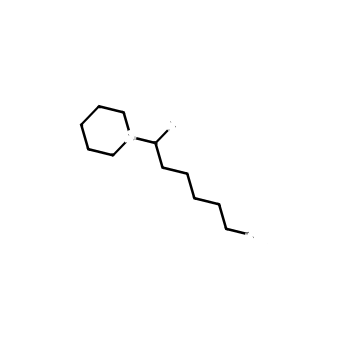 NCCCCCC(N)N1CCCCC1